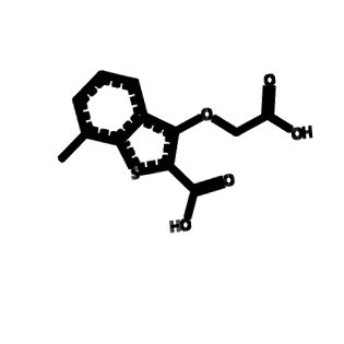 Cc1cccc2c(OCC(=O)O)c(C(=O)O)sc12